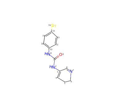 O=C(NC1=CCCN=C1)Nc1ccc(S)cc1